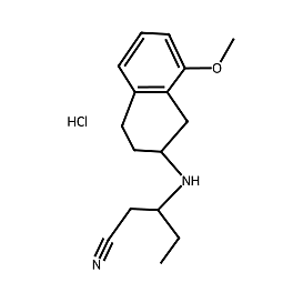 CCC(CC#N)NC1CCc2cccc(OC)c2C1.Cl